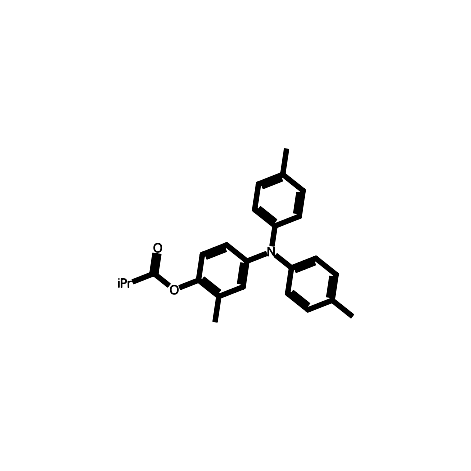 Cc1ccc(N(c2ccc(C)cc2)c2ccc(OC(=O)C(C)C)c(C)c2)cc1